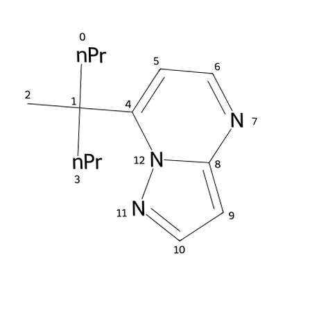 CCCC(C)(CCC)c1ccnc2ccnn12